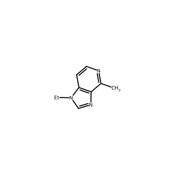 CCn1cnc2c(C)nccc21